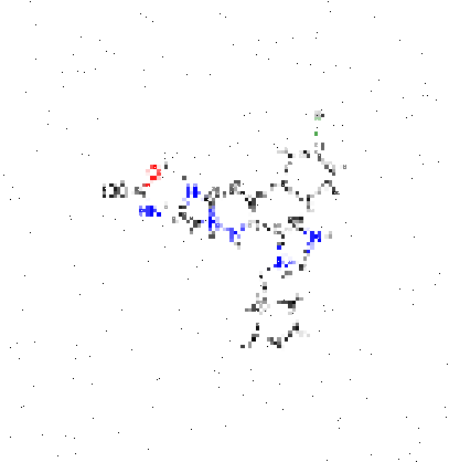 CC(C)(C)C(=O)Nc1cn2nc(-c3c(-c4ccc(F)cc4)ncn3Cc3ccccc3)ccc2n1